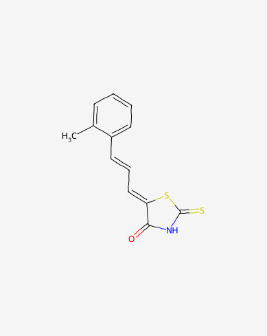 Cc1ccccc1C=CC=C1SC(=S)NC1=O